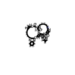 CC1(S(=O)(=O)NC(=O)[C@@]23C=C[C@H]2/C=C\CCCCC[C@@H]2NC(=O)O[C@@H]4C[C@H]4CCCCCc4nc5ccccc5nc4O[C@@H]4C[C@@H](C(=O)N3)N(C4)C2=O)CC1